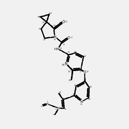 C=NN(C)/C=C(\C)c1cc(Oc2ccc(NC(=O)N3CCC4(CC4)C3=O)nc2C)ccn1